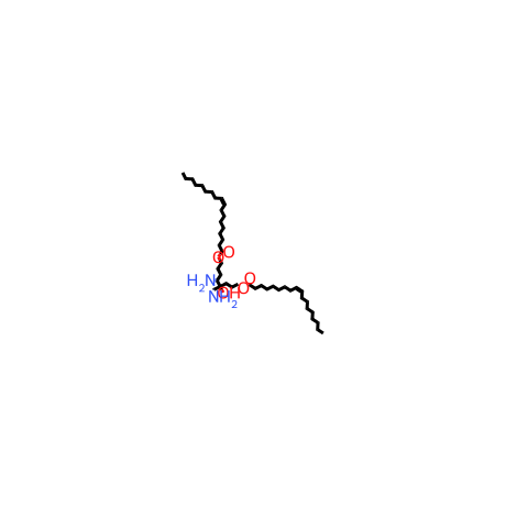 CCCCCCCC/C=C\CCCCCCCC(=O)OCCCC(N)C(O)(CN)CCCOC(=O)CCCCCCC/C=C\CCCCCCCC